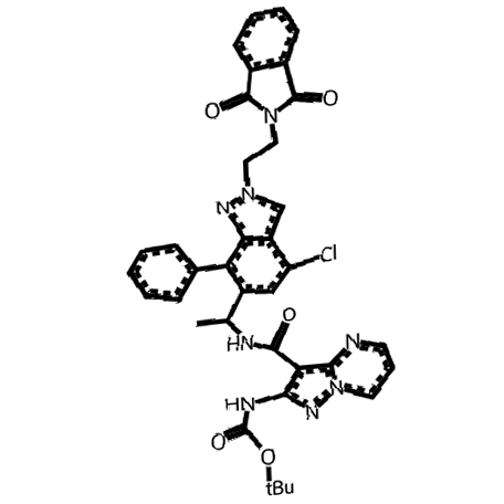 CC(NC(=O)c1c(NC(=O)OC(C)(C)C)nn2cccnc12)c1cc(Cl)c2cn(CCN3C(=O)c4ccccc4C3=O)nc2c1-c1ccccc1